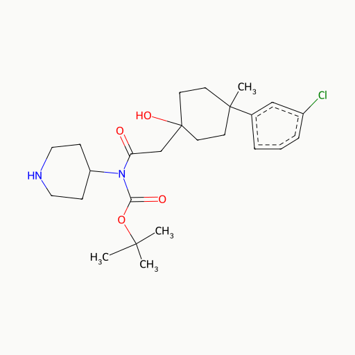 CC(C)(C)OC(=O)N(C(=O)CC1(O)CCC(C)(c2cccc(Cl)c2)CC1)C1CCNCC1